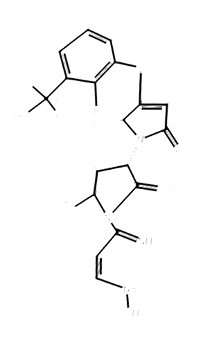 CN/C=C\C(=N)N1C(=O)[C@@H](N2CC(Oc3cccc(C(C)(C)O)c3F)=CC2=O)CC1C